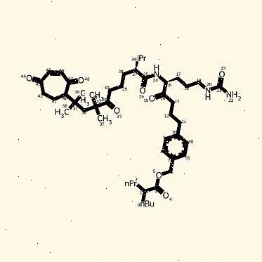 CCCCC(CCC)C(=O)OCc1ccc(CCCC(=O)[C@H](CCCNC(N)=O)NC(=O)[C@@H](CCCC(=O)C(C)(C)CC(C)(C)C2CCC(=O)C=CC2=O)C(C)C)cc1